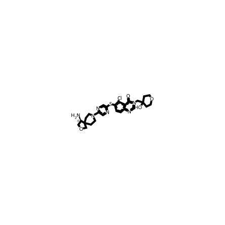 N[C@@H]1COCC12CCN(c1cnc(Sc3ccc4ncn(CC5(O)CCOCC5)c(=O)c4c3Cl)cn1)CC2